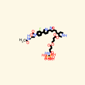 CC(=O)NC[C@H]1CN(c2ccc(-c3ccc(C4=NOC(CC(OC(=O)CCCOC(=O)CCC(=O)NC(P(=O)(O)O)P(=O)(O)O)C5CCNCC5)C4)nc3)c(F)c2)C(=O)O1